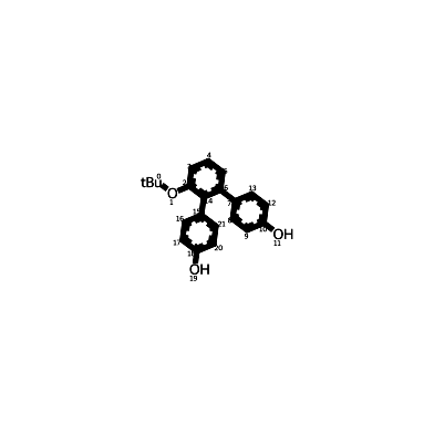 CC(C)(C)Oc1cc[c]c(-c2ccc(O)cc2)c1-c1ccc(O)cc1